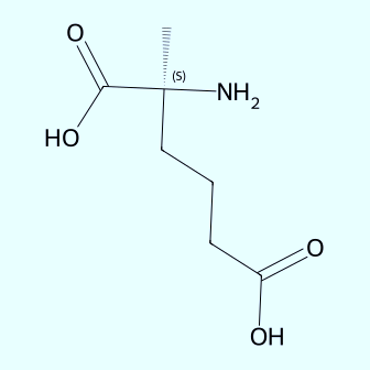 C[C@](N)(CCCC(=O)O)C(=O)O